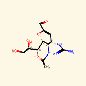 CC(=O)N[C@H]1[C@H]([C@H](O)[C@H](O)CO)OC(C=O)=C[C@@H]1NC(=N)N